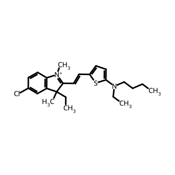 CCCCN(CC)c1ccc(/C=C/C2=[N+](C)c3ccc(Cl)cc3C2(C)CC)s1